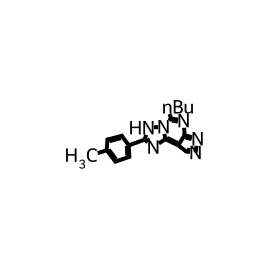 CCCCc1nc2nncc-2c2nc(-c3ccc(C)cc3)[nH]n12